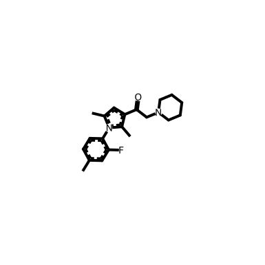 Cc1ccc(-n2c(C)cc(C(=O)CN3CCCCC3)c2C)c(F)c1